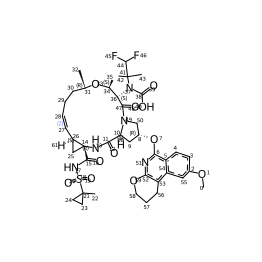 COc1ccc2c(O[C@@H]3C[C@H]4C(=O)N[C@]5(C(=O)NS(=O)(=O)C6(C)CC6)C[C@H]5/C=C\CC[C@@H](C)O[C@@H](C)[C@H](N(C(=O)O)C(C)(C)C(F)F)C(=O)N4C3)nc3c(c2c1)CCCO3